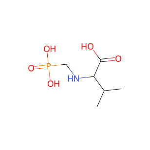 CC(C)C(NCP(=O)(O)O)C(=O)O